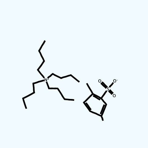 CCCC[N+](CCCC)(CCCC)CCCC.Cc1ccc(C)c(S(=O)(=O)[O-])c1